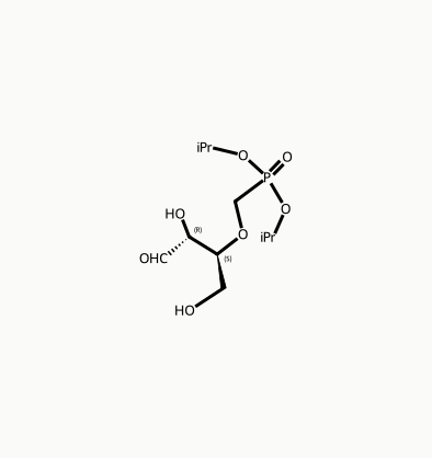 CC(C)OP(=O)(CO[C@@H](CO)[C@@H](O)C=O)OC(C)C